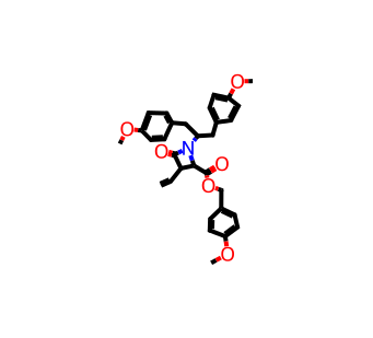 C=CC1C(=O)N(C(Cc2ccc(OC)cc2)Cc2ccc(OC)cc2)C1C(=O)OCc1ccc(OC)cc1